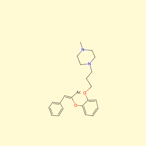 CC(=O)C(=Cc1ccccc1)Oc1ccccc1OCCCN1CCN(C)CC1